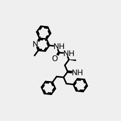 Cc1cc(NC(=O)N[C@@H](C)CC(=N)C(Cc2ccccc2)Cc2ccccc2)c2ccccc2n1